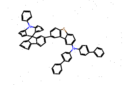 c1ccc(-c2ccc(N(c3ccc(-c4ccccc4)cc3)c3ccc4sc5ccc(-c6ccc7c(c6)C6(c8ccccc8-7)c7ccccc7N(c7ccccc7)c7ccccc76)cc5c4c3)cc2)cc1